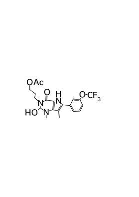 CC(=O)OCCCN1C(=O)c2[nH]c(-c3cccc(OC(F)(F)F)c3)c(C)c2N(C)C1O